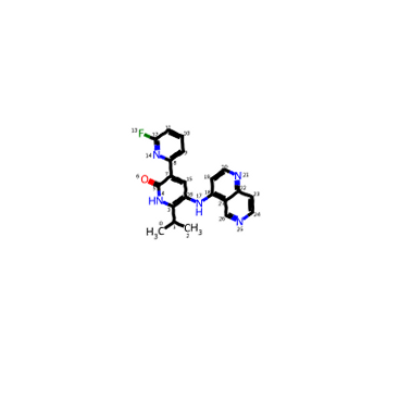 CC(C)c1[nH]c(=O)c(-c2cccc(F)n2)cc1Nc1ccnc2ccncc12